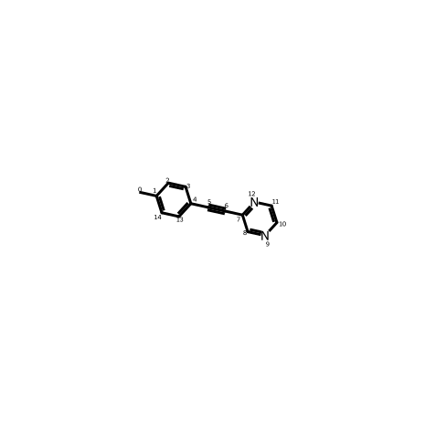 Cc1ccc(C#Cc2cnccn2)cc1